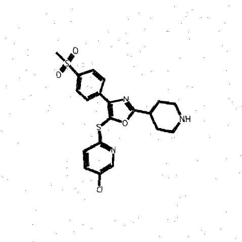 CS(=O)(=O)c1ccc(-c2nc(C3CCNCC3)oc2Sc2ccc(Cl)cn2)cc1